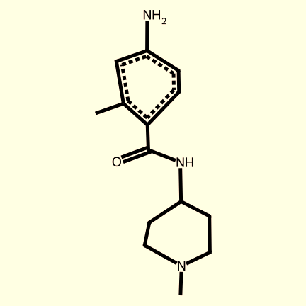 Cc1cc(N)ccc1C(=O)NC1CCN(C)CC1